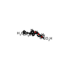 Cc1cccc(OCCCC(=O)N2C[C@@H]3C[C@@H]3c3c(-c4cnn(Cc5cccc(NC(=O)NCC(=O)O)c5)c4)cccc32)c1C